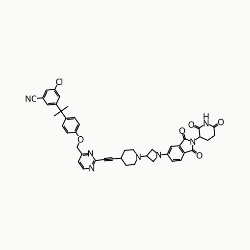 CC(C)(c1ccc(OCc2ccnc(C#CC3CCN(C4CN(c5ccc6c(c5)C(=O)N(C5CCC(=O)NC5=O)C6=O)C4)CC3)n2)cc1)c1cc(Cl)cc(C#N)c1